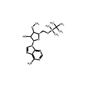 COC1C(O)[C@H](n2cnc3c(N)ncnc32)O[C@@H]1CO[Si](C)(C)C(C)(C)C